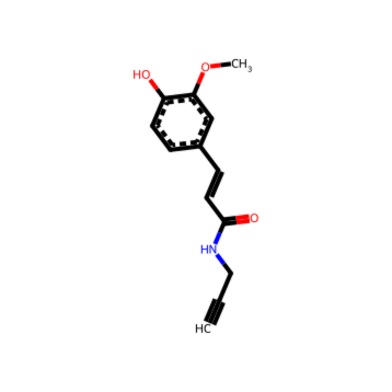 C#CCNC(=O)/C=C/c1ccc(O)c(OC)c1